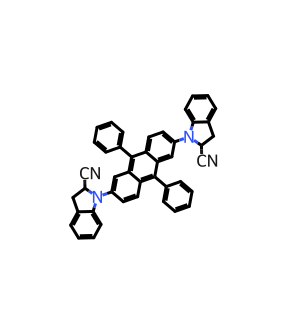 N#CC1Cc2ccccc2N1c1ccc2c(-c3ccccc3)c3cc(N4c5ccccc5CC4C#N)ccc3c(-c3ccccc3)c2c1